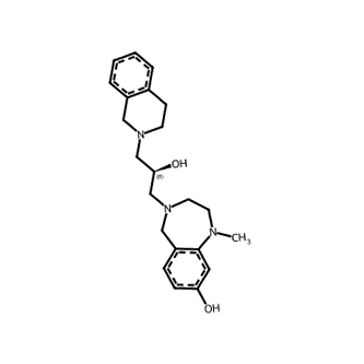 CN1CCN(C[C@H](O)CN2CCc3ccccc3C2)Cc2ccc(O)cc21